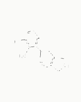 FC(F)(F)c1c(Cl)cccc1-c1ccc2c(c1)CNC2